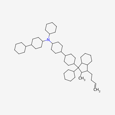 C=CCCC1C2CCCCC2C(C2CCCCC2)(C2CCC(C3CCC(N(C4CCCCC4)C4CCC(C5CCCCC5)CC4)CC3)CC2)C1C